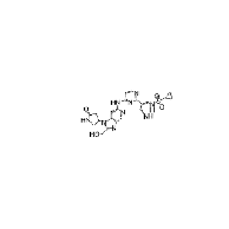 N=C/C(=C\NS(=O)(=O)C1CC1)c1nccc(Nc2cc3c(cn2)nc(CO)n3C2CNC(=O)C2)n1